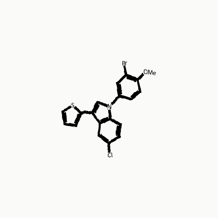 COc1ccc(-n2cc(-c3cccs3)c3cc(Cl)ccc32)cc1Br